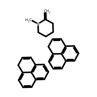 C1=Cc2cccc3cccc(c23)C1.C1=Cc2cccc3cccc(c23)C1.C=C1CCCCN1C